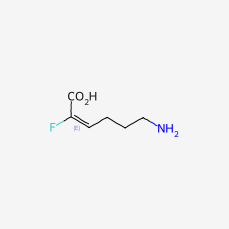 NCCC/C=C(/F)C(=O)O